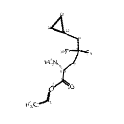 CCOC(=O)[C@H](N)CC(F)(F)CC1CC1